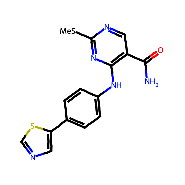 CSc1ncc(C(N)=O)c(Nc2ccc(-c3cncs3)cc2)n1